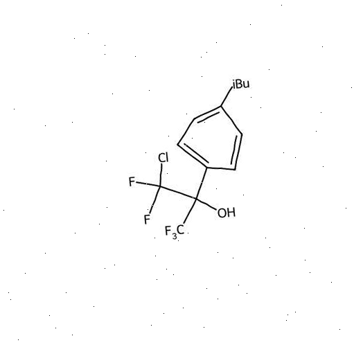 CCC(C)c1ccc(C(O)(C(F)(F)F)C(F)(F)Cl)cc1